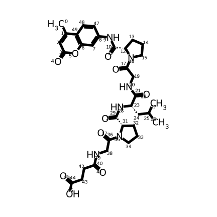 Cc1cc(=O)oc2cc(NC(=O)[C@@H]3CCCN3C(=O)CNC(=O)[C@H](CC(C)C)NC(=O)[C@@H]3CCCN3C(=O)CNC(=O)CCC(=O)O)ccc12